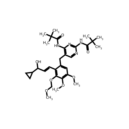 COCOc1c(C=CC(O)C2CC2)c(Cc2cnc(NC(=O)C(C)(C)C)nc2NC(=O)C(C)(C)C)cc(OC)c1OC